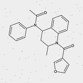 CC(=O)N(c1ccccc1)C1CC(C)N(C(=O)c2ccoc2)c2ccccc21